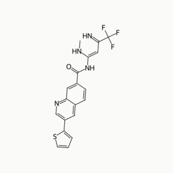 CN/C(=C\C(=N)C(F)(F)F)NC(=O)c1ccc2cc(-c3cccs3)cnc2c1